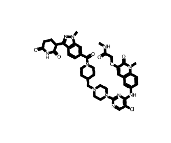 CNC(=O)COc1cc2cc(Nc3nc(N4CCN(CC5CCN(C(=O)c6ccc7c(C8CCC(=O)NC8=O)nn(C)c7c6)CC5)CC4)ncc3Cl)ccc2n(C)c1=O